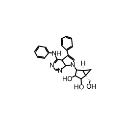 OC[C@@]12C[C@@H]1C(N1C=C(c3ccccc3)C3C(Nc4ccccc4)=NC=NC31)C(O)C2O